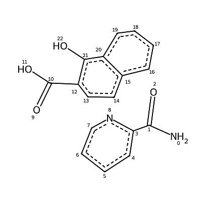 NC(=O)c1ccccn1.O=C(O)c1ccc2ccccc2c1O